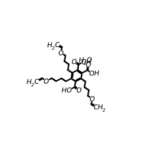 C=COCCCCc1c(CCCCOC=C)c(C(=O)O)c(C(=O)O)c(CCCCOC=C)c1C(=O)O.O